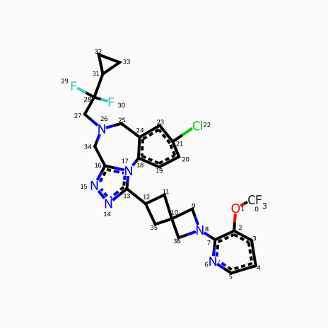 FC(F)(F)Oc1cccnc1N1CC2(CC(c3nnc4n3-c3ccc(Cl)cc3CN(CC(F)(F)C3CC3)C4)C2)C1